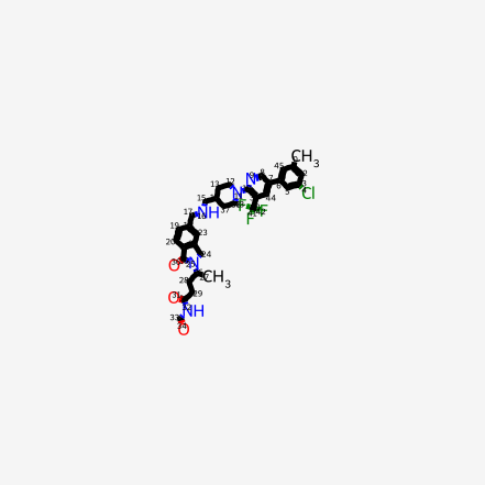 Cc1cc(Cl)cc(-c2cnc(N3CCC(CNCc4ccc5c(c4)CN(C(C)CCC(=O)NC=O)C5=O)CC3)c(C(F)(F)F)c2)c1